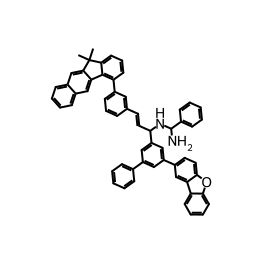 CC1(C)c2cc3ccccc3cc2-c2c(-c3cccc(/C=C/C(NC(N)c4ccccc4)c4cc(-c5ccccc5)cc(-c5ccc6oc7ccccc7c6c5)c4)c3)cccc21